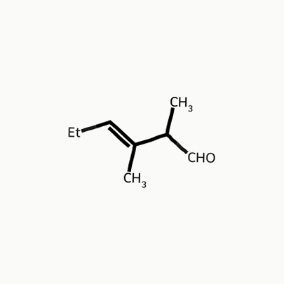 CC/C=C(\C)C(C)C=O